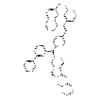 C1=Cc2ccc3ccc4cccc(C=Cc5ccc(N(c6cccc(-c7ccccc7)c6)c6ccc7c(c6)sc6cc8ccccc8cc67)cc5)c4c3c2CC1